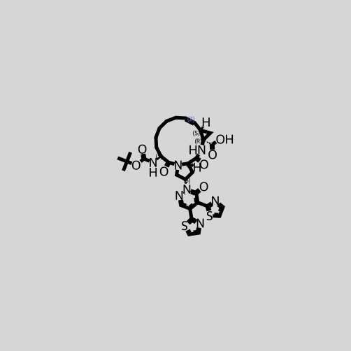 CC(C)(C)OC(=O)N[C@H]1CCCCC/C=C\[C@@H]2C[C@@]2(C(=O)O)NC(=O)[C@@H]2C[C@H](n3ncc(-c4nccs4)c(-c4nccs4)c3=O)CN2C1=O